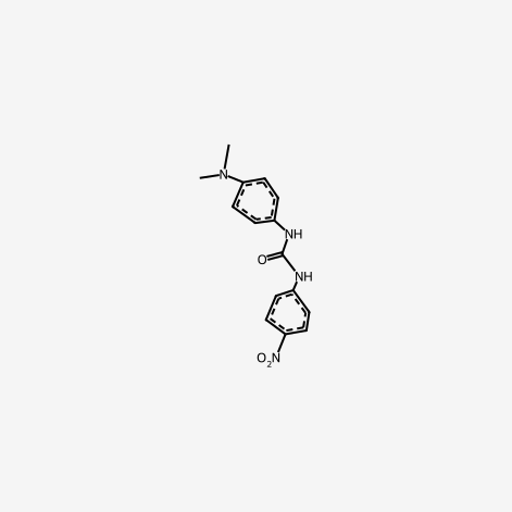 CN(C)c1ccc(NC(=O)Nc2ccc([N+](=O)[O-])cc2)cc1